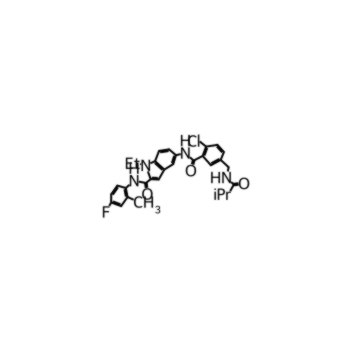 CCn1c(C(=O)Nc2ccc(F)cc2C)cc2cc(NC(=O)c3cc(CNC(=O)C(C)C)ccc3Cl)ccc21